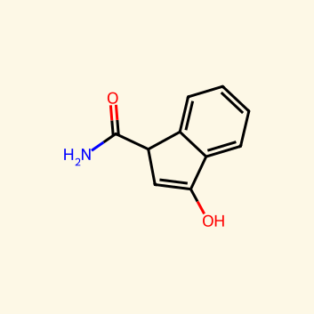 NC(=O)C1C=C(O)c2ccccc21